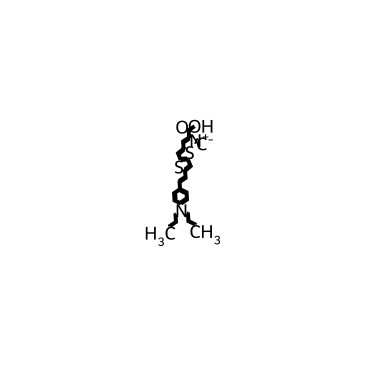 [C-]#[N+]/C(=C\c1cc2sc(/C=C/c3ccc(N(CCCC)CCCC)cc3)cc2s1)C(=O)O